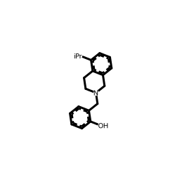 CC(C)c1cccc2c1CCN(Cc1ccccc1O)C2